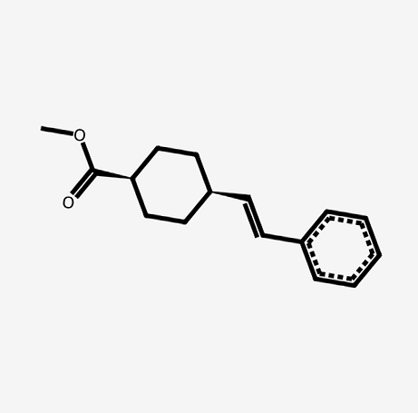 COC(=O)[C@H]1CC[C@@H](C=Cc2ccccc2)CC1